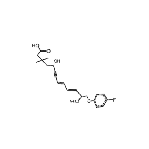 CC(C)(CC(=O)O)C[C@H](O)C#C/C=C/C=C/[C@H](O)COc1ccc(F)cc1